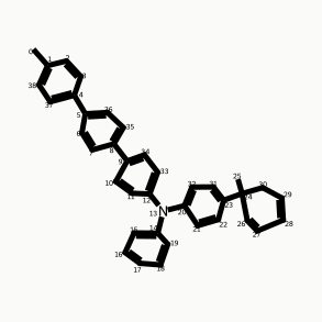 Cc1ccc(-c2ccc(-c3ccc(N(c4ccccc4)c4ccc(C5(C)C=CC=CC5)cc4)cc3)cc2)cc1